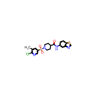 Cc1cc(S(=O)(=O)N2CCC(C(=O)Nc3ccc4scnc4c3)CC2)cnc1Cl